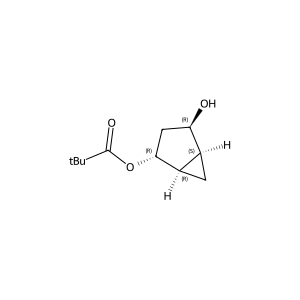 CC(C)(C)C(=O)O[C@@H]1C[C@@H](O)[C@H]2C[C@H]21